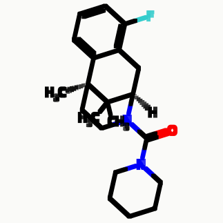 CC1(C)[C@H]2Cc3c(F)cccc3[C@]1(C)CCN2C(=O)N1CCCCC1